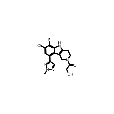 Cn1ncc(-c2cc(Cl)c(F)c3[nH]c4c(c23)CN(C(=O)CO)CC4)n1